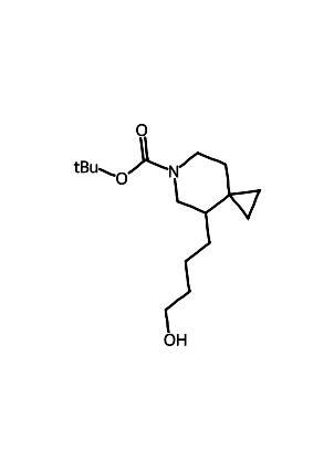 CC(C)(C)OC(=O)N1CCC2(CC2)C(CCCCO)C1